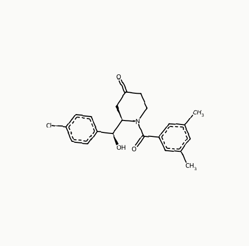 Cc1cc(C)cc(C(=O)N2CCC(=O)C[C@@H]2[C@@H](O)c2ccc(Cl)cc2)c1